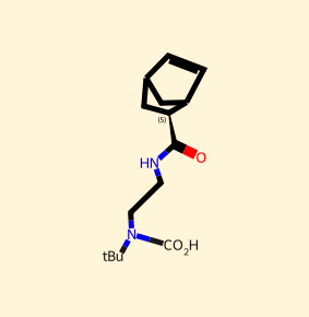 CC(C)(C)N(CCNC(=O)[C@H]1CC2C=CC1C2)C(=O)O